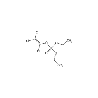 CCOP(=O)(OCC)OC(Cl)=C(Cl)Cl